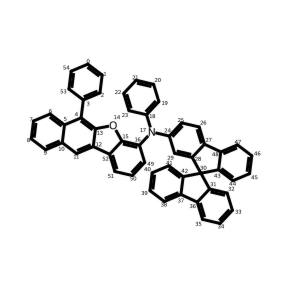 c1ccc(-c2c3ccccc3cc3c2oc2c(N(c4ccccc4)c4ccc5c(c4)C4(c6ccccc6-c6ccccc64)c4ccccc4-5)cccc23)cc1